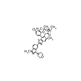 CCOC(=O)[C@@H](OC(C)(C)C)c1c(C)cc2nc(-c3ccc4c(c3)c(N3CCOCC3)nn4C)sc2c1-c1ccc(Cl)cc1